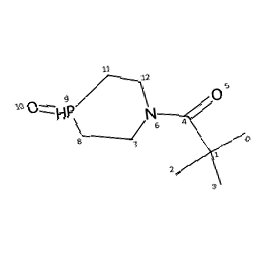 CC(C)(C)C(=O)N1CC[PH](=O)CC1